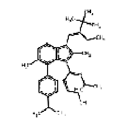 CC/C=C\C(=N/C(C)C)n1c(C)c(/C=C(\CC)C(C)(C)C)c2ccc(C)c(-c3ccc(C(C)C)cc3)c21